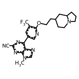 Cn1cnc2c(-c3cnc(OCCC4CCN5CCCC5C4)c(C(F)(F)F)c3)nc(C#N)nc21